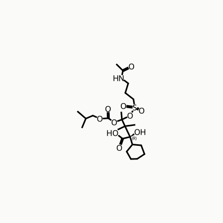 CC(=O)NCCCS(=O)(=O)OC(C)(OC(=O)OCC(C)C)C(C)(C)[C@@](O)(C(=O)O)C1CCCCC1